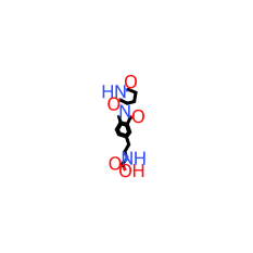 O=C(O)NCCc1ccc2c(c1)C(=O)N([C@H]1CCC(=O)NC1=O)C2